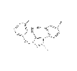 Cc1cccc(Cl)c1Nc1c(-c2ccc(F)cc2Br)c(C)nn1C